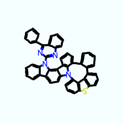 c1ccc(-c2nc(-n3c4ccccc4c4ccc5c(c6cccc7c8ccccc8c8cccc9sc%10cccc(c%10c98)n5c76)c43)nc3ccccc23)cc1